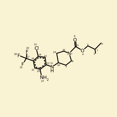 CC(C)COC(=O)N1CCC(Nc2cc(Cl)c(C(F)(F)F)cc2N)CC1